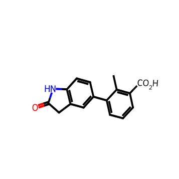 Cc1c(C(=O)O)cccc1-c1ccc2c(c1)CC(=O)N2